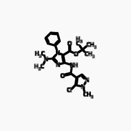 CN(C)c1nc(NC(=O)c2cnn(C)c2Cl)c(C(=O)OC(C)(C)C)n1-c1ccccc1